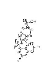 CC(=O)OC(c1ccc(F)cc1C(F)(F)F)c1cnc2n1CCN(C(=O)O)C2